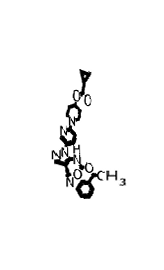 CC(OC(=O)Nc1c(C#N)cnn1-c1ccc(N2CCC(OC(=O)C3CC3)CC2)nc1)c1ccccc1